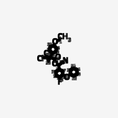 CCOc1ccc(C2(C(=O)OC(C#N)c3ccc(F)c(Oc4ccccc4)c3)CC2(Cl)Cl)cc1